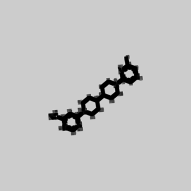 Cc1cncc(N2CCC(C3CCN(c4cc(C#N)ncn4)CC3)CC2)n1